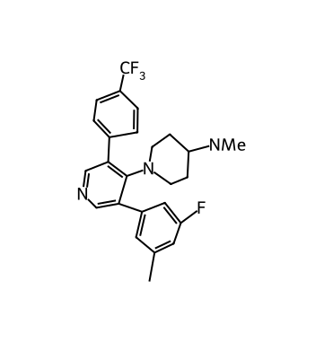 CNC1CCN(c2c(-c3ccc(C(F)(F)F)cc3)cncc2-c2cc(C)cc(F)c2)CC1